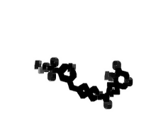 O=C1COCC2(CN(C(=O)N3CC4(CC(Cc5cncc(S(=O)(=O)C(F)(F)F)c5)C4)C3)C2)N1